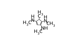 CNC1=CC(NC)=C(NC)C1C